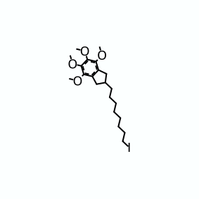 COc1c2c(c(OC)c(OC)c1OC)CC(CCCCCCCCI)C2